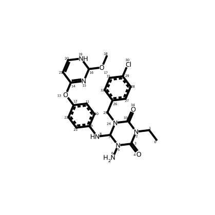 CCN1C(=O)N(N)C(Nc2ccc(OC3=NC(OC)NC=C3)cc2)N(Cc2ccc(Cl)cc2)C1=O